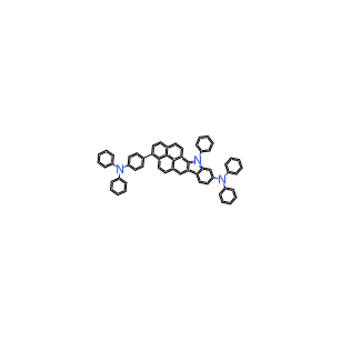 c1ccc(N(c2ccccc2)c2ccc(-c3ccc4ccc5c6c(ccc3c46)cc3c4ccc(N(c6ccccc6)c6ccccc6)cc4n(-c4ccccc4)c35)cc2)cc1